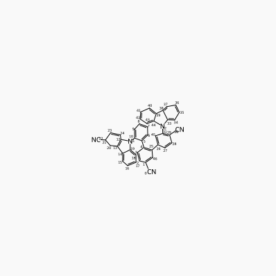 N#Cc1ccc(-c2ccccc2-n2c3c(c4ccccc42)CC(C#N)C=C3)c(-c2ccc(C#N)c(-n3c4ccccc4c4ccccc43)c2)c1